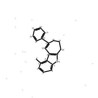 Cc1cccc2sc3c(c12)C=C(c1ccccc1)CCC3